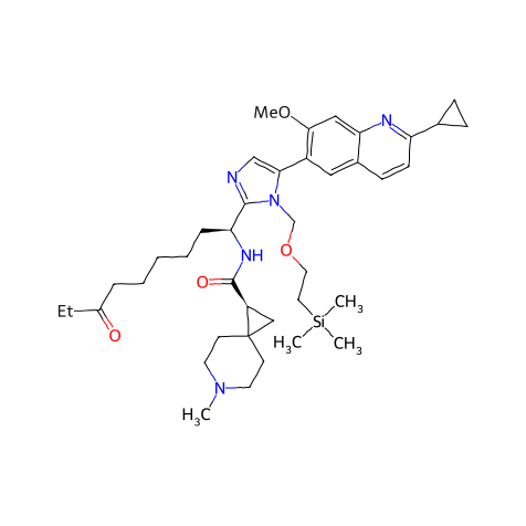 CCC(=O)CCCCC[C@H](NC(=O)[C@H]1CC12CCN(C)CC2)c1ncc(-c2cc3ccc(C4CC4)nc3cc2OC)n1COCC[Si](C)(C)C